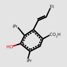 CCC=Cc1c(C(=O)O)cc(C(C)C)c(O)c1C(C)C